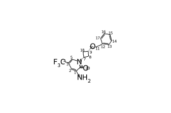 Nc1cc(C(F)(F)F)cn([C@H]2C[C@@H](OCc3ccccc3)C2)c1=O